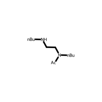 CCCCNCCN(CCCC)C(C)=O